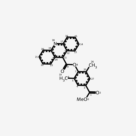 COC(=O)c1cc(C)c(OC(=O)c2c3ccccc3nc3ccccc23)c(C)c1